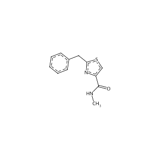 CNC(=O)c1csc(Cc2ccccc2)n1